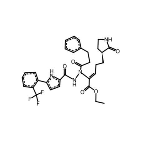 CCOC(=O)/C(=C/CC[C@H]1CCNC1=O)N(NC(=O)c1ccc(-c2ccccc2C(F)(F)F)[nH]1)C(=O)CCc1ccccc1